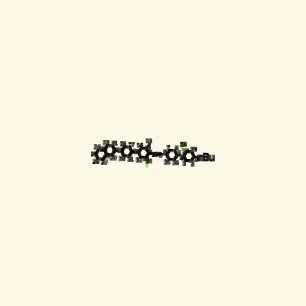 CCCCc1ccc(-c2ccc(C#Cc3c(C)cc(-c4ccc(-c5ccc6ccccc6c5)cc4)cc3F)cc2)c(F)c1